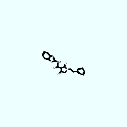 O=C1CN(CCc2ccccc2)C(=O)C1C(=O)Nc1nc2ccccc2s1